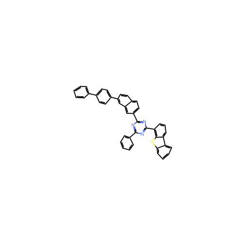 c1ccc(-c2ccc(-c3ccc4ccc(-c5nc(-c6ccccc6)nc(-c6cccc7c6sc6ccccc67)n5)cc4c3)cc2)cc1